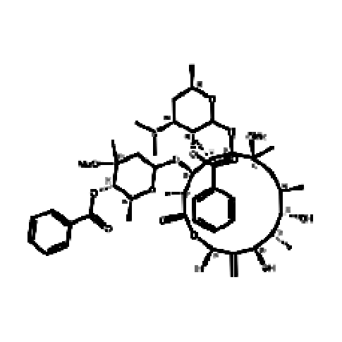 C=C1[C@@H](CC)OC(=O)[C@H](C)[C@@H](OC2C[C@@](C)(OC)[C@@H](OC(=O)c3ccccc3)[C@H](C)O2)[C@H](C)[C@@H](OC2O[C@H](C)C[C@H](N(C)C)[C@H]2OC(=O)c2ccccc2)[C@@](C)(OC)C[C@@H](C)[C@H](O)[C@H](C)[C@H]1O